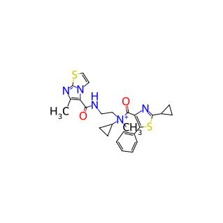 Cc1nc2sccn2c1C(=O)NCC[N+](C)(C(=O)c1nc(C2CC2)sc1-c1ccccc1)C1CC1